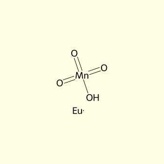 [Eu].[O]=[Mn](=[O])(=[O])[OH]